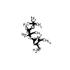 Cc1nc(SC(C)(C)C(=O)OC(C)(C)C)sc1CN